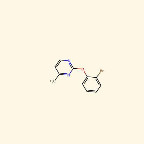 FC(F)(F)c1ccnc(Oc2ccccc2Br)n1